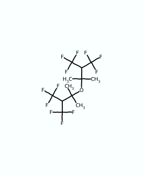 CC(C)(OC(C)(C)C(C(F)(F)F)C(F)(F)F)C(C(F)(F)F)C(F)(F)F